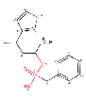 CC(CC(OP(=O)(O)Cc1ccccc1)C(=O)O)c1ccsc1